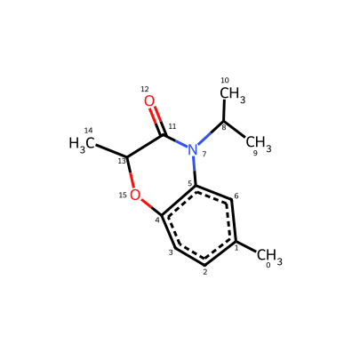 Cc1ccc2c(c1)N(C(C)C)C(=O)C(C)O2